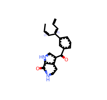 C=C/C=C(\C=C/C)c1cccc(C(=O)c2c[nH]c3c(=O)[nH]ccc23)c1